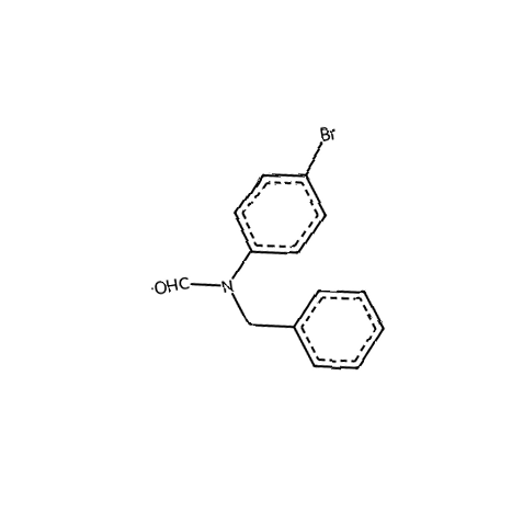 O=[C]N(Cc1ccccc1)c1ccc(Br)cc1